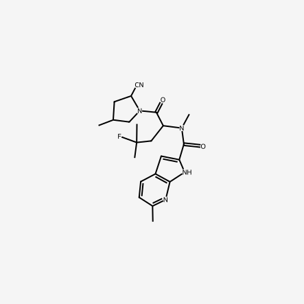 Cc1ccc2cc(C(=O)N(C)C(CC(C)(C)F)C(=O)N3CC(C)CC3C#N)[nH]c2n1